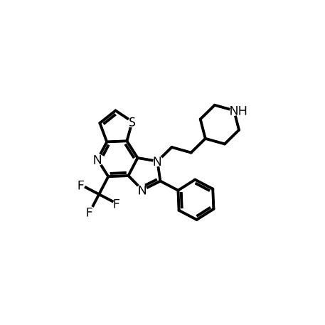 FC(F)(F)c1nc2ccsc2c2c1nc(-c1ccccc1)n2CCC1CCNCC1